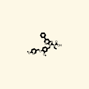 CCN(C(=O)O)c1nc2cc(-c3ccccc3)cnc2n1Cc1ccc(OCc2ccc(OC)nc2)c(OC)c1